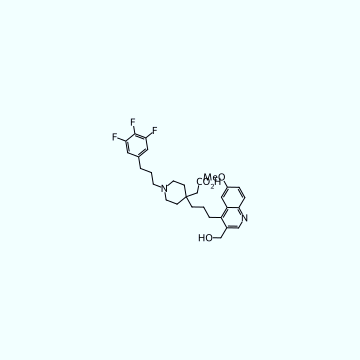 COc1ccc2ncc(CO)c(CCCC3(CC(=O)O)CCN(CCCc4cc(F)c(F)c(F)c4)CC3)c2c1